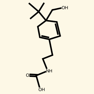 CC(C)(C)C1(CO)C=CC(CCNC(=O)O)=CC1